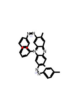 Cc1ccc(/N=N\c2cc3c(cc2C)nc2cc(C)c(/N=N\c4ccc(C)cc4)cc2[n+]3-c2ccccc2)cc1